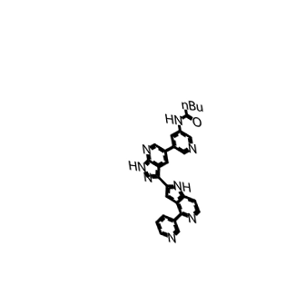 CCCCC(=O)Nc1cncc(-c2cnc3[nH]nc(-c4cc5c(-c6cccnc6)nccc5[nH]4)c3c2)c1